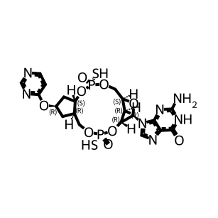 C[C@H]1[C@H]2OP(=O)(S)OC[C@H]3C[C@@H](Oc4ccncn4)C[C@@H]3OP(=O)(S)OC[C@H]1O[C@H]2n1cnc2c(=O)[nH]c(N)nc21